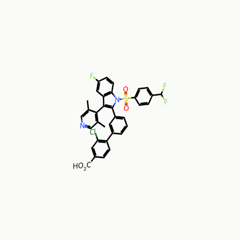 Cc1cncc(C)c1-c1c(-c2cccc(-c3ccc(C(=O)O)cc3Cl)c2)n(S(=O)(=O)c2ccc(C(F)F)cc2)c2ccc(F)cc12